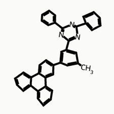 Cc1cc(-c2ccc3c4ccccc4c4ccccc4c3c2)cc(-c2nc(-c3ccccc3)nc(-c3ccccc3)n2)c1